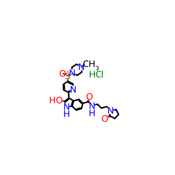 CN1CCN([S+]([O-])c2ccc(-c3c(O)[nH]c4ccc(C(=O)NCCCN5CCCC5=O)cc34)nc2)CC1.Cl